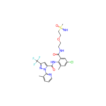 Cc1cccnc1-n1nc(C(F)(F)F)cc1C(=O)Nc1c(C)cc(Cl)cc1C(=O)NCCOCCS(C)(=N)=O